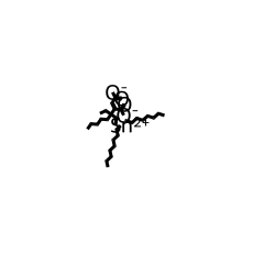 CCCCCC(CC)(CC)/C(=C/C(=O)[O-])C(=O)[O-].CCCCCCC[CH2][Sn+2][CH2]CCCCCCC